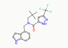 CC(C)(C)CN(Cc1cccc2[nH]ccc12)C(=O)c1cc(C(F)(F)F)n[nH]1